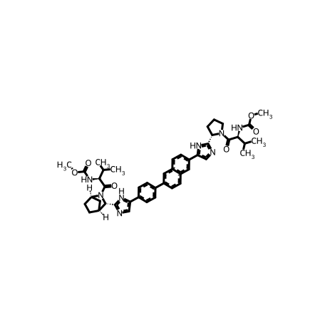 COC(=O)N[C@H](C(=O)N1CCC[C@H]1c1ncc(-c2ccc3cc(-c4ccc(-c5cnc([C@@H]6[C@H]7CC[C@H](C7)N6C(=O)[C@@H](NC(=O)OC)C(C)C)[nH]5)cc4)ccc3c2)[nH]1)C(C)C